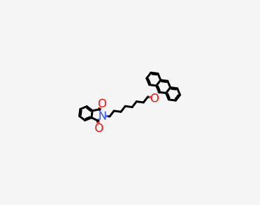 O=C1c2ccccc2C(=O)N1CCCCCCCCOc1c2ccccc2cc2ccccc12